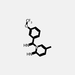 Cc1ccc(=N)n(C(=N)c2cccc(OC(F)(F)F)c2)c1